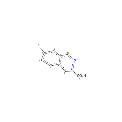 O=C(O)c1cc2ccc(F)cc2cn1